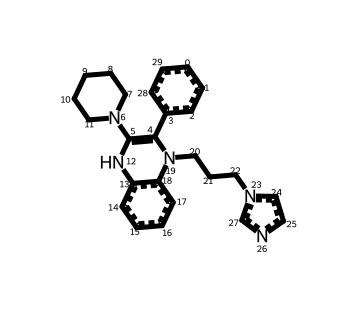 c1ccc(C2=C(N3CCCCC3)Nc3ccccc3N2CCCn2ccnc2)cc1